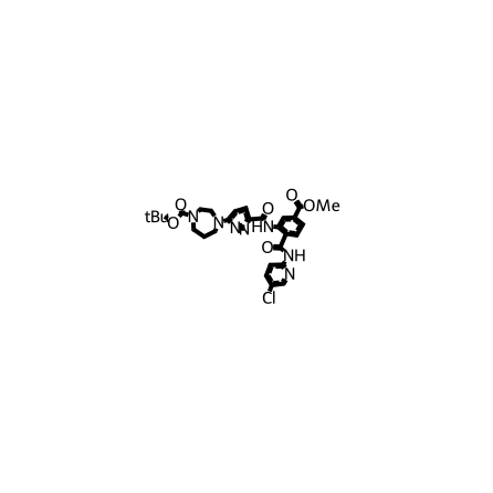 COC(=O)c1ccc(C(=O)Nc2ccc(Cl)cn2)c(NC(=O)c2ccc(N3CCCN(C(=O)OC(C)(C)C)CC3)nn2)c1